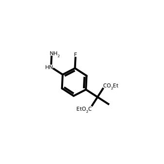 CCOC(=O)C(C)(C(=O)OCC)c1ccc(NN)c(F)c1